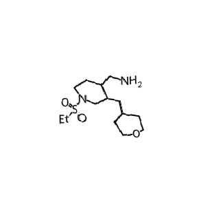 CCS(=O)(=O)N1CCC(CN)C(CC2CCOCC2)C1